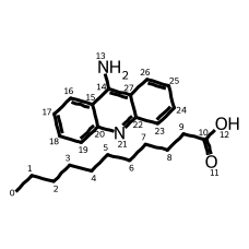 CCCCCCCCCCC(=O)O.Nc1c2ccccc2nc2ccccc12